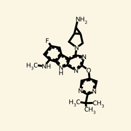 CNc1cc(F)cc2c1[nH]c1nc(Oc3cnc(C(C)(C)C)nc3)nc(N3CC4C(N)C4C3)c12